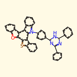 c1ccc(C2=NC(c3ccccc3)NC(c3ccc(-n4c5ccccc5c5c6c7ccccc7oc6c6sc7ccccc7c6c54)cc3)=N2)cc1